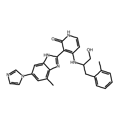 Cc1ccccc1CC(CO)Nc1cc[nH]c(=O)c1-c1nc2c(C)cc(-n3ccnc3)cc2[nH]1